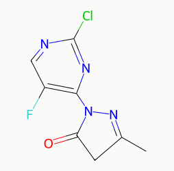 CC1=NN(c2nc(Cl)ncc2F)C(=O)C1